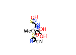 COC1C(n2cc(-c3csc(O)n3)nn2)[C@@H](O)C(CO)O[C@@H]1Sc1cncc(C#N)c1